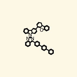 C1=CC(C2=CC3c4ccccc4N(c4nc(-c5ccc(-c6ccc(-c7ccccc7)cc6)cc5)c5ccccc5n4)C3C=C2)=C2Oc3ccccc3C2C1